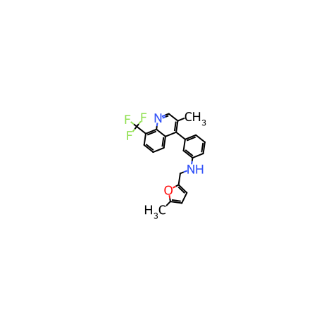 Cc1ccc(CNc2cccc(-c3c(C)cnc4c(C(F)(F)F)cccc34)c2)o1